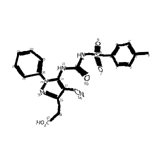 Cc1ccc(S(=O)(=O)NC(=O)Nc2c(C#N)c(CC(=O)O)nn2-c2ccccc2)cc1